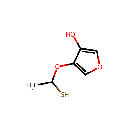 CC(S)Oc1cocc1O